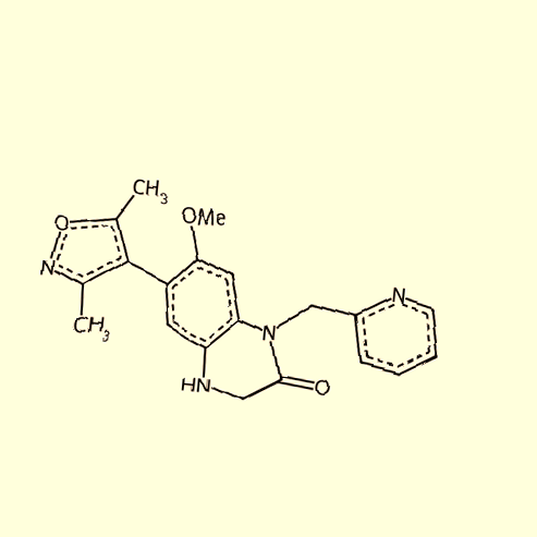 COc1cc2c(cc1-c1c(C)noc1C)NCC(=O)N2Cc1ccccn1